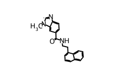 Cn1[c]nc2ccc(C(=O)NCCc3cccc4ccccc34)cc21